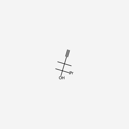 C#CC(C)(C)C(C)(O)C(C)C